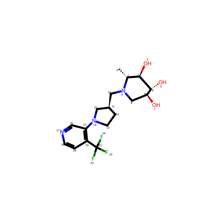 C[C@@H]1[C@@H](O)[C@H](O)[C@@H](O)CN1C[C@H]1CCN(c2cnccc2C(F)(F)F)C1